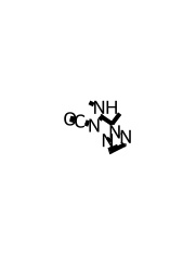 CN[C@@H](N=C=O)C(C)n1nccn1